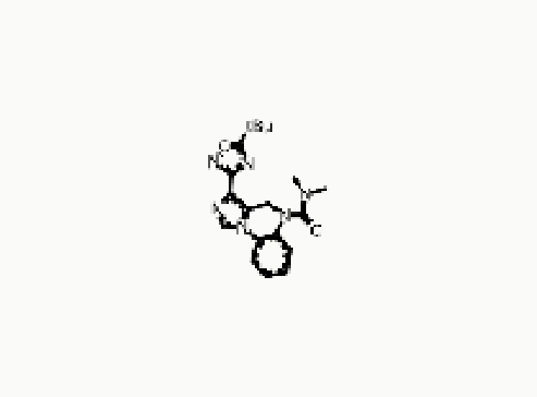 CN(C)C(=O)N1Cc2c(-c3noc(C(C)(C)C)n3)ncn2-c2ccccc21